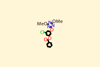 COc1nc(OC)nc(Oc2cc(Cl)cc(OC(=O)c3ccccc3)c2)n1